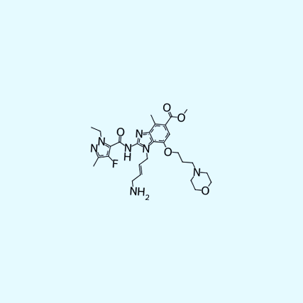 CCn1nc(C)c(F)c1C(=O)Nc1nc2c(C)c(C(=O)OC)cc(OCCCN3CCOCC3)c2n1CC=CCN